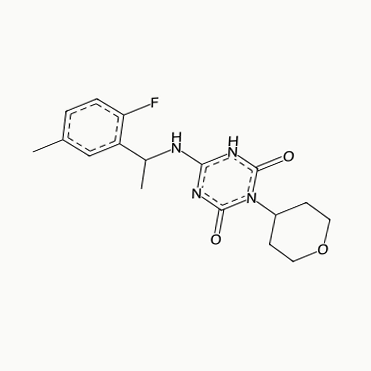 Cc1ccc(F)c(C(C)Nc2nc(=O)n(C3CCOCC3)c(=O)[nH]2)c1